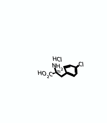 Cl.N[C@@H](Cc1ccc(Cl)cc1)C(=O)O